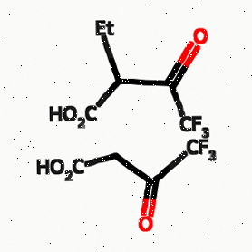 CCC(C(=O)O)C(=O)C(F)(F)F.O=C(O)CC(=O)C(F)(F)F